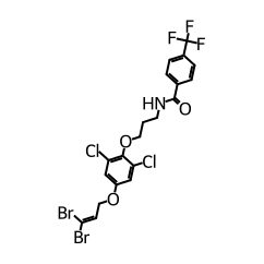 O=C(NCCCOc1c(Cl)cc(OCC=C(Br)Br)cc1Cl)c1ccc(C(F)(F)F)cc1